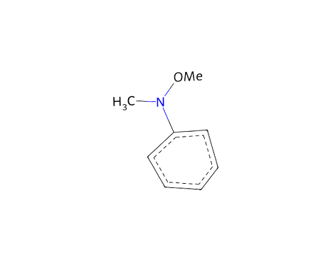 CON(C)c1ccccc1